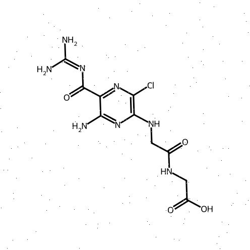 NC(N)=NC(=O)c1nc(Cl)c(NCC(=O)NCC(=O)O)nc1N